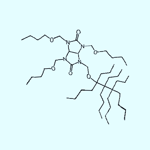 CCCCOCN1C(=O)N(COCCCC)C2C1N(COCCCC)C(=O)N2COC(CCC)(CCCC)C(CCC)(CCCC)C(CCC)(CCCC)CCCC